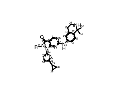 CC(C)n1c(=O)c2cnc(Nc3ccc4c(c3)CCNC4(C)C)nc2n1-c1nc(C2CC2)cs1